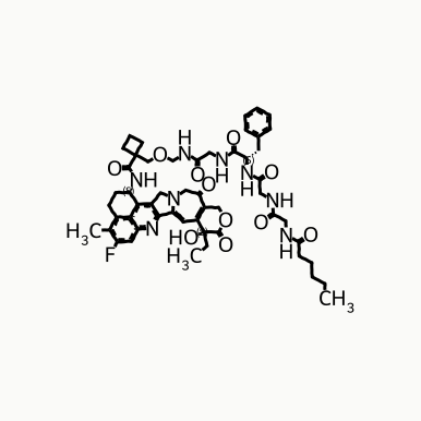 CCCCCC(=O)NCC(=O)NCC(=O)N[C@@H](Cc1ccccc1)C(=O)NCC(=O)NCOCC1(C(=O)N[C@H]2CCc3c(C)c(F)cc4nc5c(c2c34)CN2CC(=O)C3=C(C=C52)[C@@](O)(CC)C(=O)OC3)CCC1